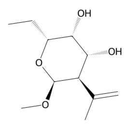 C=C(C)[C@H]1[C@@H](OC)O[C@H](CC)[C@H](O)[C@@H]1O